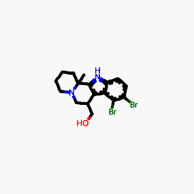 CC12CCCCN1CC(CO)c1c2[nH]c2ccc(Br)c(Br)c12